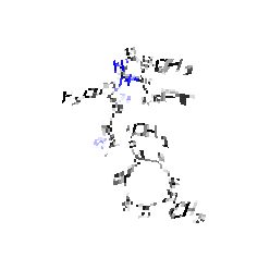 CC1=CCC(C(C)/C=C\C=C(/C)n2ncc(C)c2CC(C)C)=CCC1